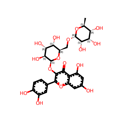 C[C@@H]1O[C@@H](OC[C@H]2O[C@@H](Oc3c(-c4ccc(O)c(O)c4)oc4cc(O)cc(O)c4c3=O)[C@@H](O)[C@H](O)[C@@H]2O)[C@@H](O)[C@@H](O)[C@H]1O